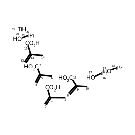 C=C(C)C(=O)O.C=C(C)C(=O)O.C=C(C)C(=O)O.C=C(C)C(=O)O.CC(C)O.CC(C)O.CC(C)O.[TiH4]